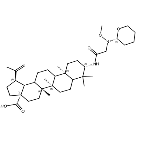 C=C(C)[C@@H]1CC[C@]2(C(=O)O)CC[C@]3(C)C(CCC4[C@@]5(C)CC[C@H](NC(=O)CN(OC)[C@H]6CCCCO6)C(C)(C)C5CC[C@]43C)C12